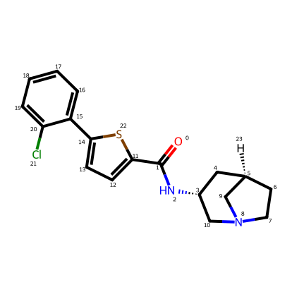 O=C(N[C@@H]1C[C@H]2CCN(C2)C1)c1ccc(-c2ccccc2Cl)s1